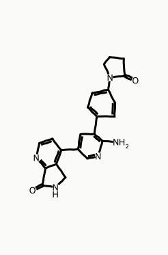 Nc1ncc(-c2ccnc3c2CNC3=O)cc1-c1ccc(N2CCCC2=O)cc1